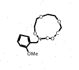 COc1ccccc1CN1COCCOCCOCCO1